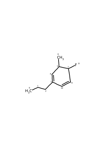 CCCC1=CC(C)C(F)C=C1